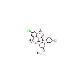 CON1CCC2(CC1)C(=O)C(c1c(C)cc(Cl)cc1C)C(=O)N2c1ccc(Cl)cc1